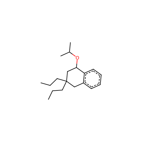 CCCC1(CCC)Cc2ccccc2C(OC(C)C)C1